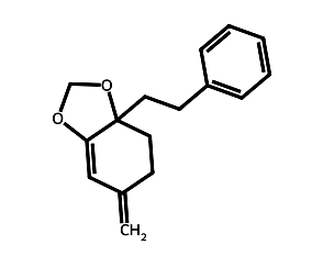 C=C1C=C2OCOC2(CCc2ccccc2)CC1